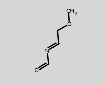 COCC=NC=O